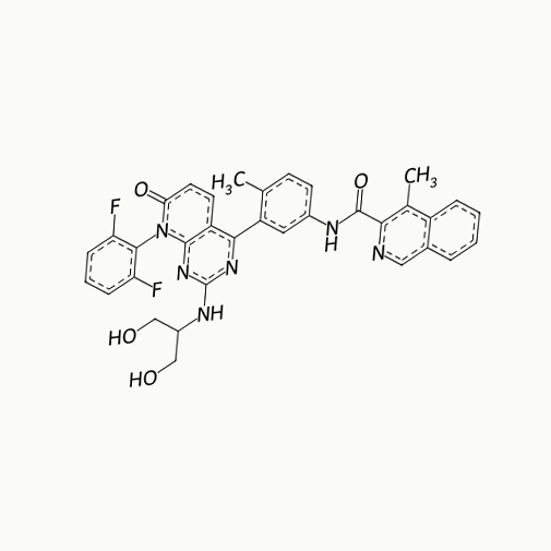 Cc1ccc(NC(=O)c2ncc3ccccc3c2C)cc1-c1nc(NC(CO)CO)nc2c1ccc(=O)n2-c1c(F)cccc1F